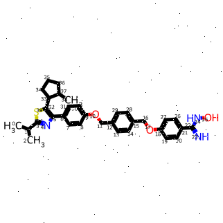 CC(C)c1nc(-c2ccc(OCc3ccc(COc4ccc(C(=N)NO)cc4)cc3)cc2)c(C2CCCC2C)s1